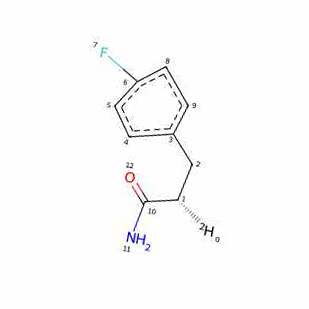 [2H][C@@H](Cc1ccc(F)cc1)C(N)=O